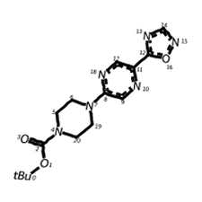 CC(C)(C)OC(=O)N1CCN(c2cnc(-c3ncno3)cn2)CC1